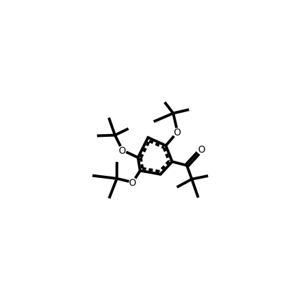 CC(C)(C)Oc1cc(OC(C)(C)C)c(C(=O)C(C)(C)C)cc1OC(C)(C)C